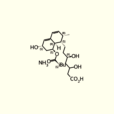 CC[C@H](C)C(=O)O[C@H]1C[C@H](O)C=C2C=C[C@H](C)[C@H](CC[C@@H](O)CC(O)CC(=O)O)[C@H]21.N